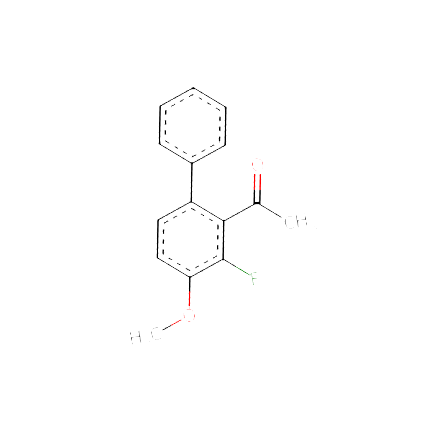 COc1ccc(-c2ccccc2)c(C(C)=O)c1F